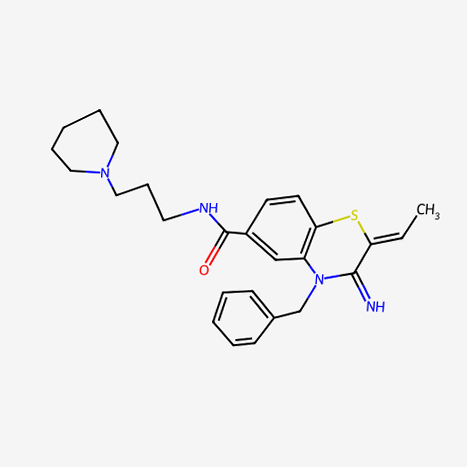 CC=C1Sc2ccc(C(=O)NCCCN3CCCCC3)cc2N(Cc2ccccc2)C1=N